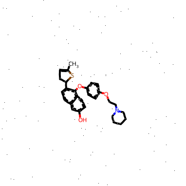 CC1=CCC(c2ccc3cc(O)ccc3c2Oc2ccc(OCCN3CCCCC3)cc2)S1